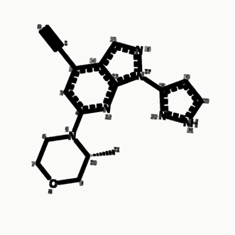 C#Cc1cc(N2CCOC[C@H]2C)nc2c1cnn2-c1cc[nH]n1